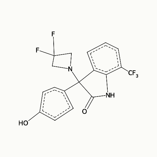 O=C1Nc2c(C(F)(F)F)cccc2C1(c1ccc(O)cc1)N1CC(F)(F)C1